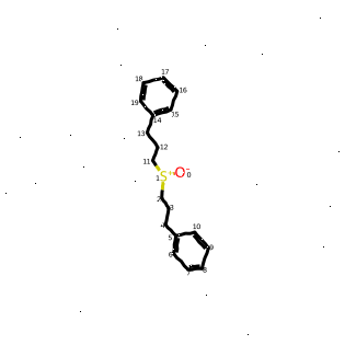 [O-][S+](CCCc1ccccc1)CCCc1ccccc1